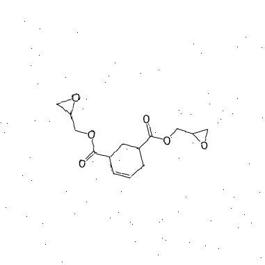 O=C(OCC1CO1)C1C=CCC(C(=O)OCC2CO2)C1